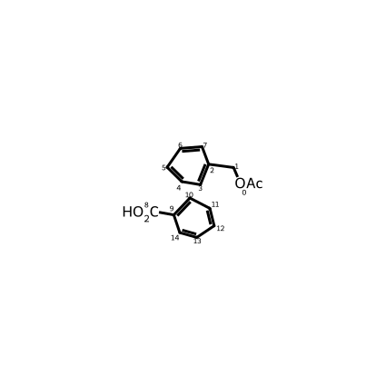 CC(=O)OCc1ccccc1.O=C(O)c1ccccc1